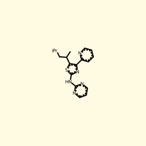 CC(C)CC(C)c1sc(Nc2ncccn2)nc1-c1ccccn1